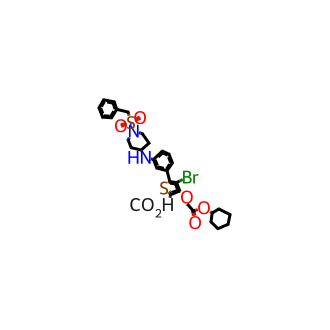 O=C(COc1c(C(=O)O)sc(-c2cccc(NC3CCN(S(=O)(=O)Cc4ccccc4)CC3)c2)c1Br)OC1CCCCC1